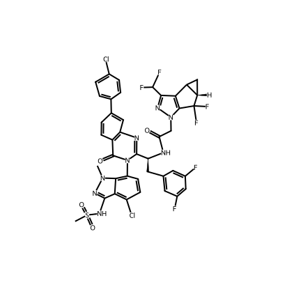 Cn1nc(NS(C)(=O)=O)c2c(Cl)ccc(-n3c([C@H](Cc4cc(F)cc(F)c4)NC(=O)Cn4nc(C(F)F)c5c4C(F)(F)[C@H]4CC54)nc4cc(-c5ccc(Cl)cc5)ccc4c3=O)c21